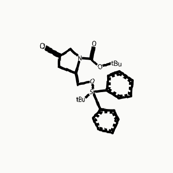 CC(C)(C)OC(=O)N1CC(=O)CC1CO[Si](c1ccccc1)(c1ccccc1)C(C)(C)C